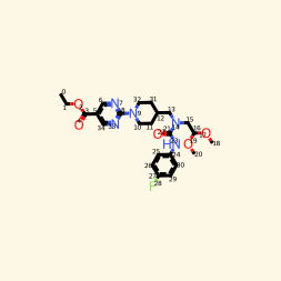 CCOC(=O)c1cnc(N2CCC(CN(CC(OC)OC)C(=O)Nc3ccc(F)cc3)CC2)nc1